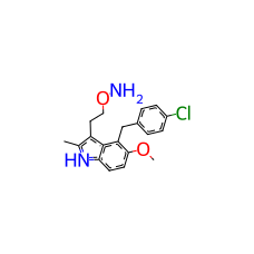 COc1ccc2[nH]c(C)c(CCON)c2c1Cc1ccc(Cl)cc1